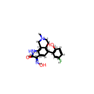 CN1CCc2c(-c3cc(F)ccc3O)cc3c(c2C1)NC(=O)/C3=N/O